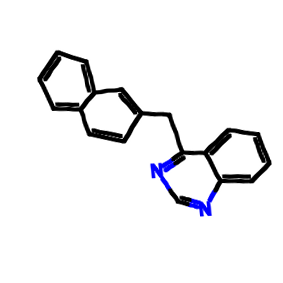 c1ccc2cc(Cc3ncnc4ccccc34)ccc2c1